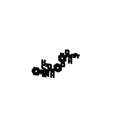 CCCNC(=O)c1cc(Oc2ccc(NC(=O)c3nnn(-c4ccccc4)c3C)cc2)ccn1